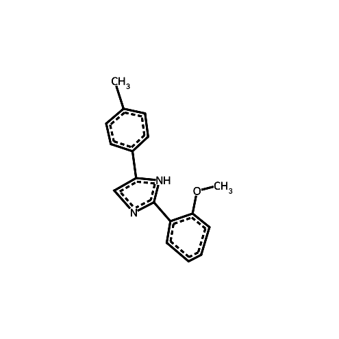 COc1ccccc1-c1ncc(-c2ccc(C)cc2)[nH]1